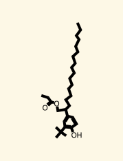 CCCCCCCCCCCCCCCCC(COC(=O)CC)c1ccc(O)c(C(C)(C)C)c1